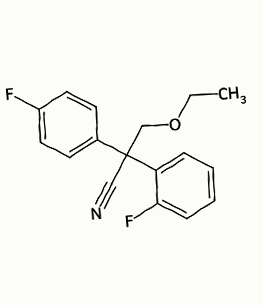 CCOCC(C#N)(c1ccc(F)cc1)c1ccccc1F